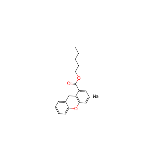 CCCCCOC(=O)c1cccc2c1Cc1ccccc1O2.[Na]